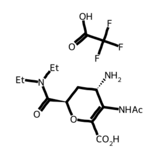 CCN(CC)C(=O)[C@H]1C[C@H](N)C(NC(C)=O)=C(C(=O)O)O1.O=C(O)C(F)(F)F